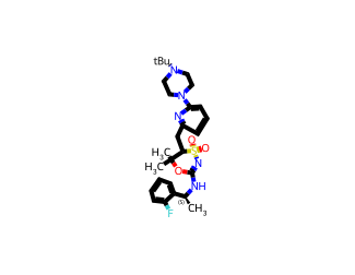 C[C@H](NC1=NS(=O)(=O)C(Cc2cccc(N3CCN(C(C)(C)C)CC3)n2)C(C)(C)O1)c1ccccc1F